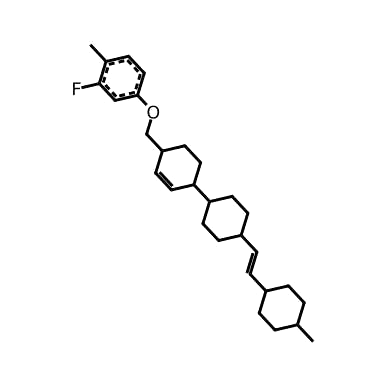 Cc1ccc(OCC2C=CC(C3CCC(/C=C/C4CCC(C)CC4)CC3)CC2)cc1F